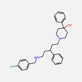 OC1(c2ccccc2)CCN(CCC(CCNCc2ccc(Cl)cc2)c2ccccc2)CC1